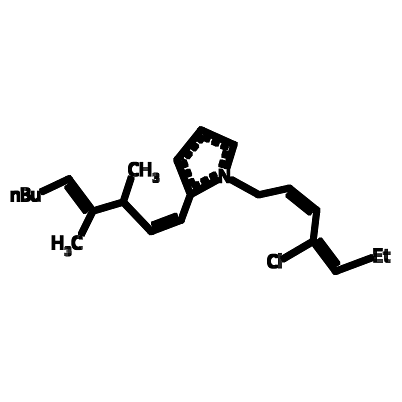 CC/C=C(Cl)\C=C/Cn1cccc1/C=C\C(C)/C(C)=C/CCCC